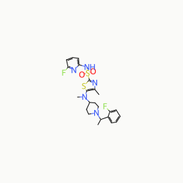 Cc1nc(S(=O)(=O)Nc2cccc(F)n2)sc1N(C)C1CCN(C(C)c2ccccc2F)CC1